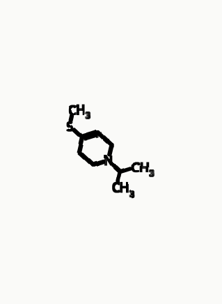 CSC1=CCN(C(C)C)CC1